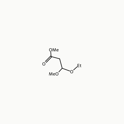 CCOC(CC(=O)OC)OC